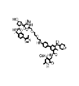 CCN(c1cc(-c2ccc(NCCOCCOCC(=O)N[C@H](C(=O)N3C[C@H](O)C[C@H]3C(=O)N[C@@H](C)c3ccc(-c4scnc4C)cc3)C(C)(C)C)cc2)cc(C(=O)NCc2c(OC)cc(C)[nH]c2=O)c1C)C1CCOCC1